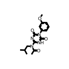 COc1cccc(-n2c(=O)nc(N(CC(C)C)C(C)=O)[nH]c2=O)c1